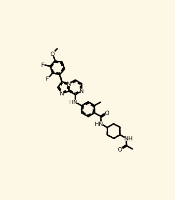 COc1ccc(-c2cnc3c(Nc4ccc(C(=O)NC5CCC(NC(C)=O)CC5)c(C)c4)nccn23)c(F)c1F